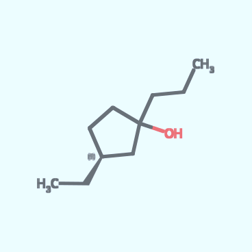 CCCC1(O)CC[C@H](CC)C1